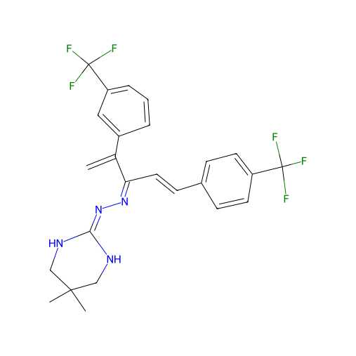 C=C(C(C=Cc1ccc(C(F)(F)F)cc1)=NN=C1NCC(C)(C)CN1)c1cccc(C(F)(F)F)c1